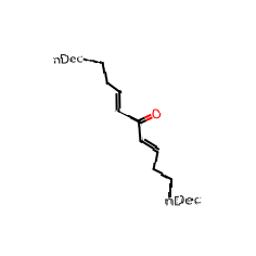 CCCCCCCCCCCCC=CC(=O)C=CCCCCCCCCCCCC